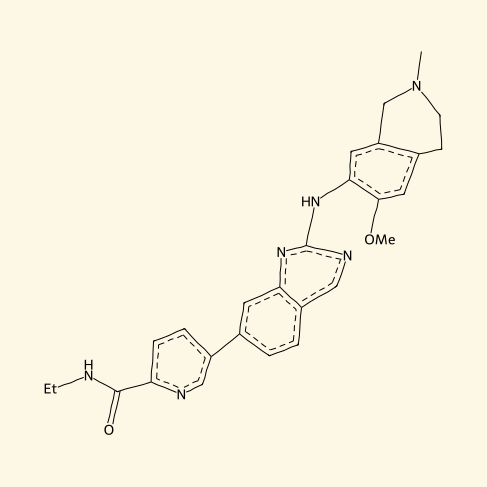 CCNC(=O)c1ccc(-c2ccc3cnc(Nc4cc5c(cc4OC)CCN(C)C5)nc3c2)cn1